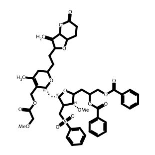 C=C1C(CCC2CC(C)=C(COC(=O)COC)[C@@H](C[C@@H]3OC(CC(COC(=O)c4ccccc4)OC(=O)c4ccccc4)[C@H](OC)C3CS(=O)(=O)c3ccccc3)O2)OC2CCC(=O)OC12